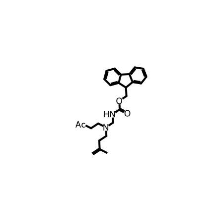 C=C(C)CCN(CCC(C)=O)CNC(=O)OCC1c2ccccc2-c2ccccc21